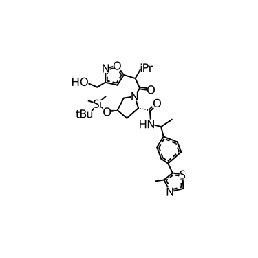 Cc1ncsc1-c1ccc(C(C)NC(=O)[C@@H]2C[C@@H](O[Si](C)(C)C(C)(C)C)CN2C(=O)C(c2cc(CO)no2)C(C)C)cc1